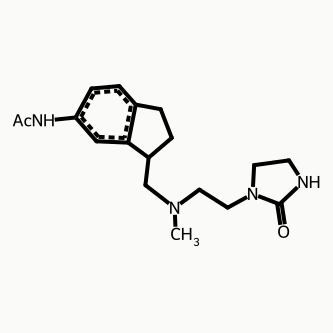 CC(=O)Nc1ccc2c(c1)C(CN(C)CCN1CCNC1=O)CC2